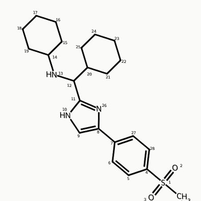 CS(=O)(=O)c1ccc(-c2c[nH]c(C(NC3CCCCC3)C3CCCCC3)n2)cc1